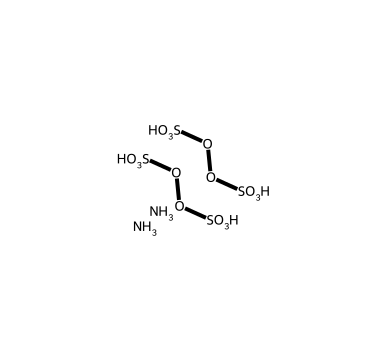 N.N.O=S(=O)(O)OOS(=O)(=O)O.O=S(=O)(O)OOS(=O)(=O)O